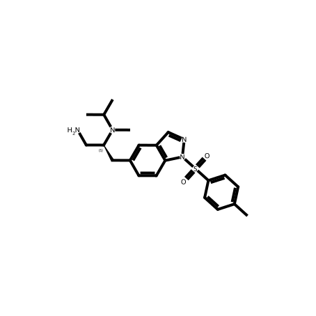 Cc1ccc(S(=O)(=O)n2ncc3cc(C[C@@H](CN)N(C)C(C)C)ccc32)cc1